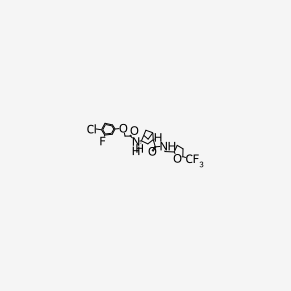 O=C(COc1ccc(Cl)c(F)c1)N[C@@H]1C[C@H](C(=O)NCC2CCC(C(F)(F)F)O2)C2CC1C2